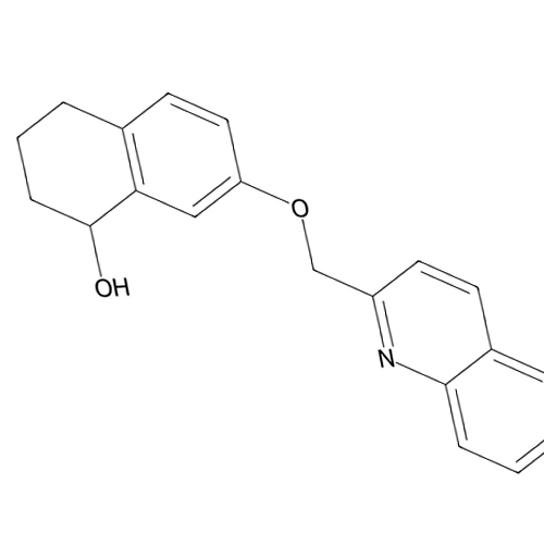 OC1CCCc2ccc(OCc3ccc4ccccc4n3)cc21